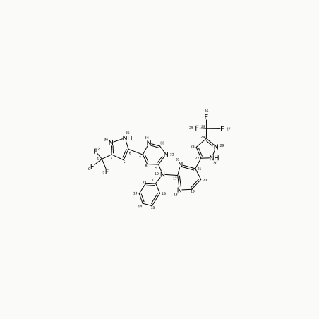 FC(F)(F)c1cc(-c2cc(N(c3ccccc3)c3nccc(-c4cc(C(F)(F)F)n[nH]4)n3)ncn2)[nH]n1